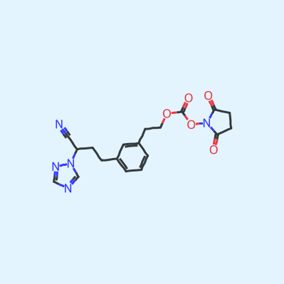 N#CC(CCc1cccc(CCOC(=O)ON2C(=O)CCC2=O)c1)n1cncn1